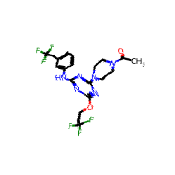 CC(=O)N1CCN(c2nc(Nc3cccc(C(F)(F)F)c3)nc(OCC(F)(F)F)n2)CC1